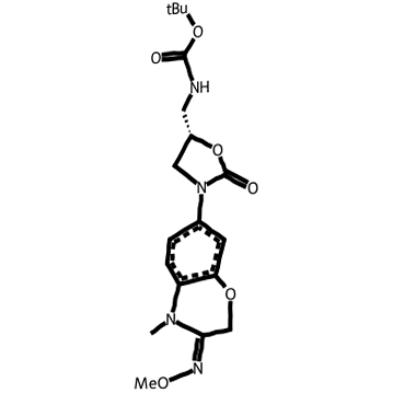 CON=C1COc2cc(N3C[C@H](CNC(=O)OC(C)(C)C)OC3=O)ccc2N1C